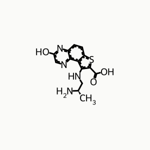 C[C@@H](N)CNc1c(C(=O)O)sc2ccc3nc(O)cnc3c12